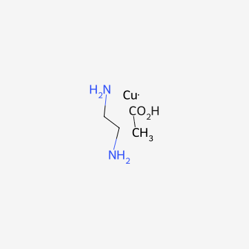 CC(=O)O.NCCN.[Cu]